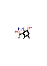 COc1cc(C)c(C)c(C(=O)O)c1N